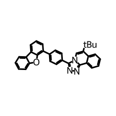 CC(C)(C)c1cn2c(-c3ccc(-c4cccc5c4oc4ccccc45)cc3)nnc2c2ccccc12